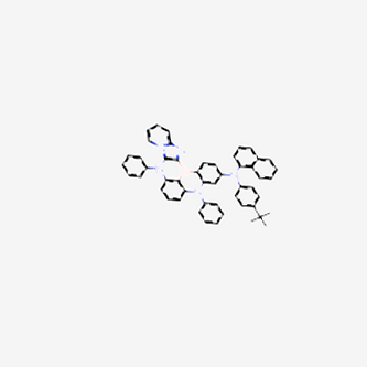 CC(C)(C)c1ccc(N(c2ccc3c(c2)N(c2ccccc2)c2cccc4c2B3c2nc3ccccn3c2N4c2ccccc2)c2cccc3ccccc23)cc1